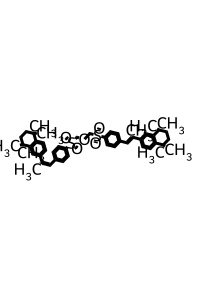 CC(=Cc1ccc(S(=O)(=O)COCS(=O)(=O)c2ccc(C=C(C)c3ccc4c(c3)C(C)(C)CCC4(C)C)cc2)cc1)c1ccc2c(c1)C(C)(C)CCC2(C)C